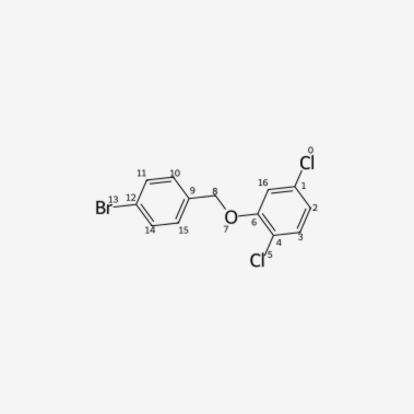 Clc1ccc(Cl)c(OCc2ccc(Br)cc2)c1